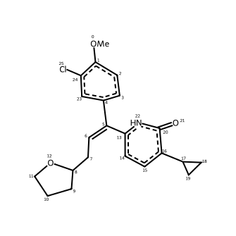 COc1ccc(C(=CCC2CCCO2)c2ccc(C3CC3)c(=O)[nH]2)cc1Cl